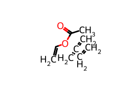 C=C.C=C=C.C=COC(C)=O